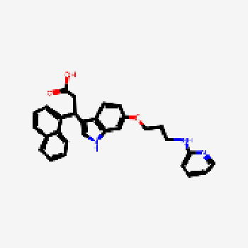 O=C(O)CC(c1cccc2ccccc12)c1c[nH]c2cc(OCCCNc3ccccn3)ccc12